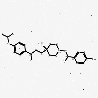 CC(C)Oc1ccc(N(C)CCC2(O)CCN(CC(O)c3ccc(F)cc3)CC2)cc1